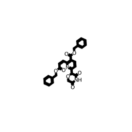 O=C1COC(c2ccc(C(=O)OCc3ccccc3)c(/C=C\C(=O)OCc3ccccc3)n2)C(=O)N1